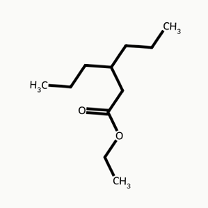 CCCC(CCC)CC(=O)OCC